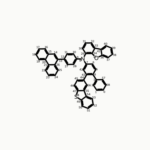 c1ccc(-c2ccc(N(c3ccc(-c4cc5ccccc5c5ccccc45)cc3)c3cccc4c3oc3ccccc34)cc2-c2ccc3sc4ccccc4c3c2)cc1